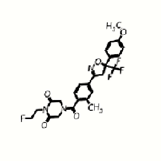 COc1ccc(C2(C(F)(F)F)CC(c3ccc(C(=O)N4CC(=O)N(CCF)C(=O)C4)c(C)c3)=NO2)cc1